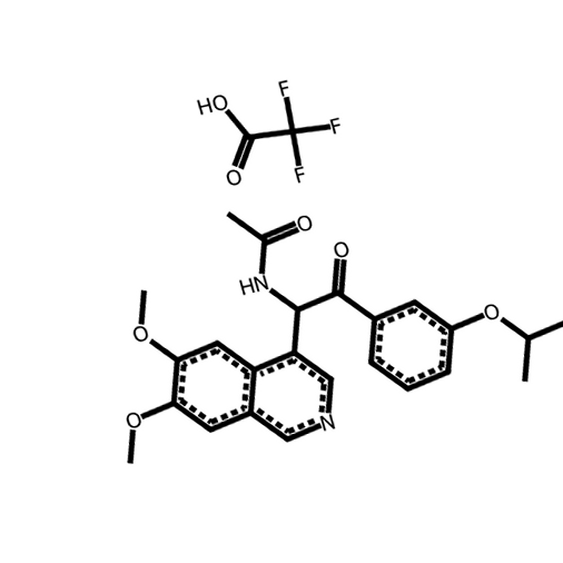 COc1cc2cncc(C(NC(C)=O)C(=O)c3cccc(OC(C)C)c3)c2cc1OC.O=C(O)C(F)(F)F